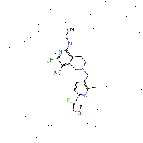 Cc1nc(C2(F)COC2)ccc1CN1CCc2c(NCC#N)nc(Cl)c(C#N)c2C1